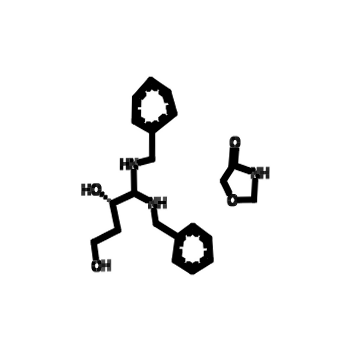 O=C1COCN1.OCC[C@H](O)C(NCc1ccccc1)NCc1ccccc1